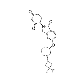 O=C1CC[C@@H](N2Cc3cc(O[C@@H]4CCCN(C5CC(F)(F)C5)C4)ccc3C2=O)C(=O)N1